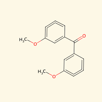 COC1=C=C=CC(C(=O)C2=CC(OC)=C=C=C2)=C1